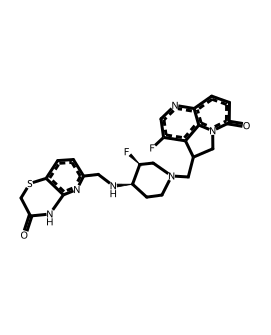 O=C1CSc2ccc(CN[C@@H]3CCN(CC4Cn5c(=O)ccc6ncc(F)c4c65)C[C@@H]3F)nc2N1